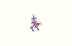 COc1ccc([C@H](NC(=O)C(Cc2cccc(C#N)c2)Oc2cc(Cl)cc(C#N)c2)C(=O)N[C@H](C(=O)C(F)(F)C(=O)NCC(F)(F)F)C(C)C)cc1